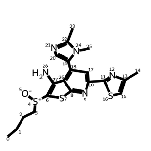 CCCC[S+]([O-])c1sc2nc(-c3nc(C)cs3)cc(-c3cnc(C)n3C)c2c1N